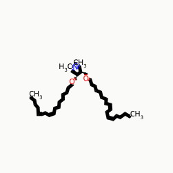 CCCCC/C=C\C/C=C\CCCCCCCCOC[C@@H]1C[N+](C)(C)C[C@H]1COCCCCCCCC/C=C\C/C=C\CCCCC